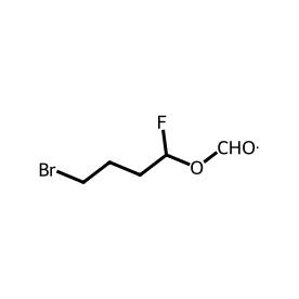 O=[C]OC(F)CCCBr